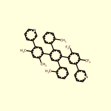 Cc1cc(C)c(-c2cc(-c3ccccc3C)c(-c3cc(-c4cccnc4)c(C(F)(F)F)cc3C(F)(F)F)cc2-c2ccccc2C)cc1-c1cccnc1